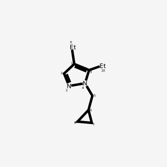 CCc1[c]nn(CC2CC2)c1CC